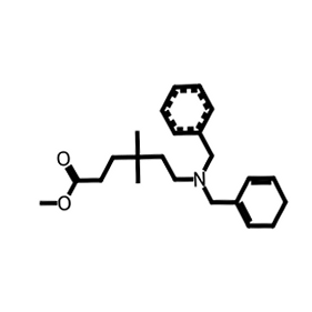 COC(=O)CCC(C)(C)CCN(CC1=CCCC=C1)Cc1ccccc1